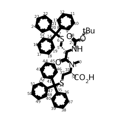 CN(C(=O)[C@H](CSC(c1ccccc1)(c1ccccc1)c1ccccc1)NC(=O)OC(C)(C)C)[C@@H](CSC(c1ccccc1)(c1ccccc1)c1ccccc1)C(=O)O